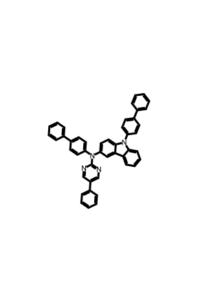 c1ccc(-c2ccc(N(c3ccc4c(c3)c3ccccc3n4-c3ccc(-c4ccccc4)cc3)c3ncc(-c4ccccc4)cn3)cc2)cc1